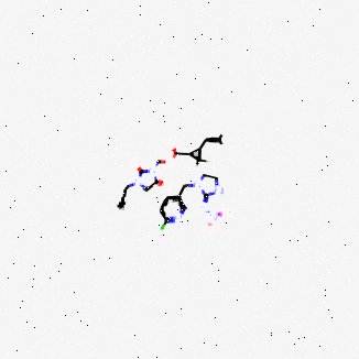 C#CCN1CC(=O)N(COC(=O)C2C(C=C(C)C)C2(C)C)C1=O.O=[N+]([O-])/N=C1\NCCN1Cc1ccc(Cl)nc1